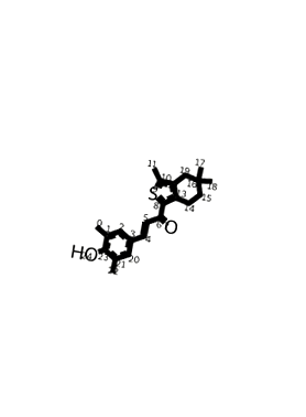 Cc1cc(C=CC(=O)c2sc(C)c3c2CCC(C)(C)C3)cc(C)c1O